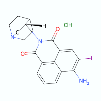 Cl.Nc1c(I)cc2c3c(cccc13)C(=O)N([C@@H]1CN3CCC1CC3)C2=O